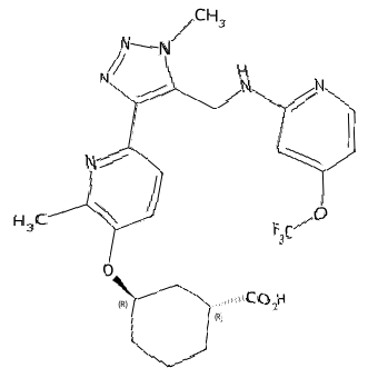 Cc1nc(-c2nnn(C)c2CNc2cc(OC(F)(F)F)ccn2)ccc1O[C@@H]1CCC[C@@H](C(=O)O)C1